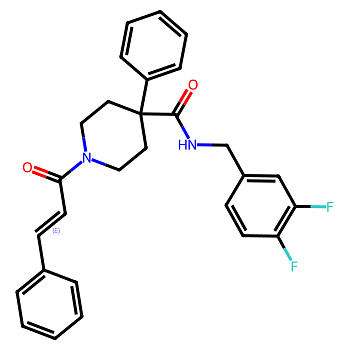 O=C(/C=C/c1ccccc1)N1CCC(C(=O)NCc2ccc(F)c(F)c2)(c2ccccc2)CC1